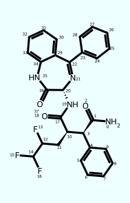 NC(=O)[C@@H](c1ccccc1)[C@@H](CC(F)C(F)F)C(=O)N[C@H]1N=C(c2ccccc2)c2ccccc2NC1=O